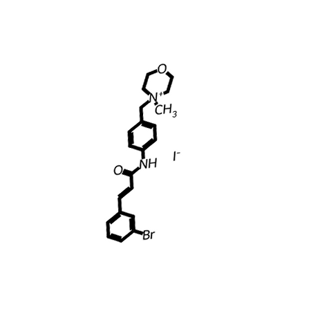 C[N+]1(Cc2ccc(NC(=O)/C=C/c3cccc(Br)c3)cc2)CCOCC1.[I-]